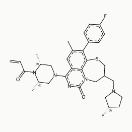 C=CC(=O)N1[C@H](C)CN(c2nc(=O)n3c4c(c(-c5ccc(F)cc5)c(C)cc24)SCC(CN2CC[C@H](F)C2)C3)C[C@@H]1C